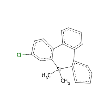 C[Si]1(C)c2ccccc2-c2ccccc2-c2ccc(Cl)cc21